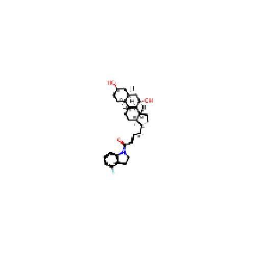 C[C@H](CCC(=O)N1CCc2c(F)cccc21)[C@H]1CC[C@H]2[C@@H]3[C@@H](O)C[C@@H]4C[C@H](O)CC[C@]4(C)[C@H]3CC[C@]12C